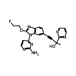 CC(O)(C#Cc1ccc2nc(OCCF)n(-c3ccnc(N)n3)c2c1)c1ncccn1